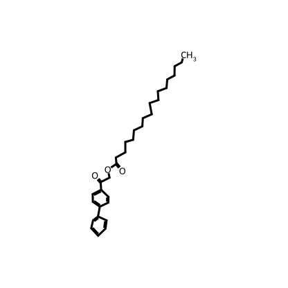 CCCCCCCCCCCCCCCCCC(=O)OCC(=O)c1ccc(-c2ccccc2)cc1